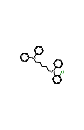 Clc1ccccc1[As](CCCCC[As](c1ccccc1)c1ccccc1)c1ccccc1